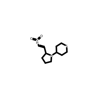 O=[SH](=O)/C=C/C1CCCN1C1CCSCC1